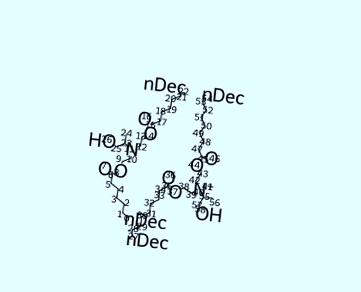 CCCCCCCCCCCCCCCC(=O)OCCN(CCOC(=O)CCCCCCCCCCCCCCC)C(C)CO.CCCCCCCCCCCCCCCCCC(=O)OCC[N+](C)(CCOC(=O)CCCCCCCCCCCCCCCCC)C(C)CO